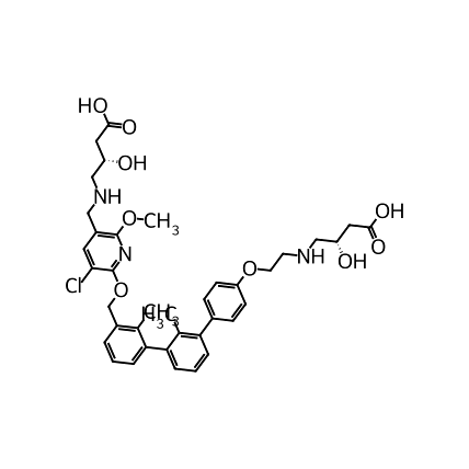 COc1nc(OCc2cccc(-c3cccc(-c4ccc(OCCNC[C@@H](O)CC(=O)O)cc4)c3C)c2C)c(Cl)cc1CNC[C@@H](O)CC(=O)O